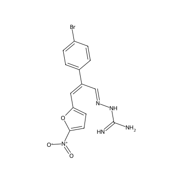 N=C(N)NN=CC(=Cc1ccc([N+](=O)[O-])o1)c1ccc(Br)cc1